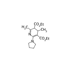 CCOC(=O)C1=C(N2CCCC2)N=C(C)C(C(=O)OCC)C1C